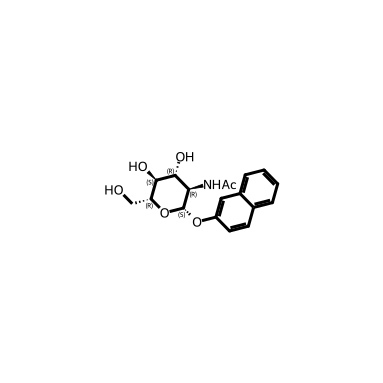 CC(=O)N[C@H]1[C@H](Oc2ccc3ccccc3c2)O[C@H](CO)[C@@H](O)[C@@H]1O